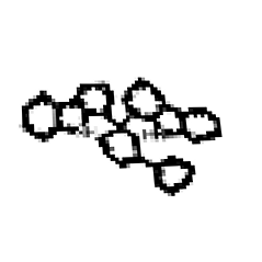 C1=CC(c2cccc3c2[nH]c2ccccc23)(c2cccc3c2[nH]c2ccccc23)CC(c2ccccc2)=C1